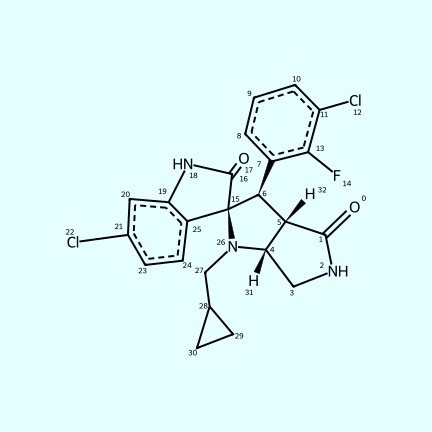 O=C1NC[C@H]2[C@@H]1[C@H](c1cccc(Cl)c1F)[C@]1(C(=O)Nc3cc(Cl)ccc31)N2CC1CC1